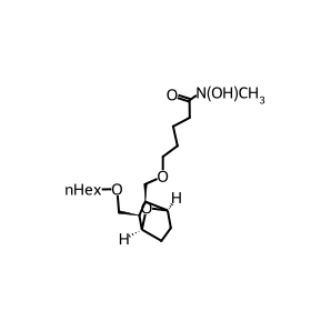 CCCCCCOC[C@H]1[C@@H](COCCCCC(=O)N(C)O)[C@H]2CC[C@@H]1O2